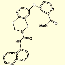 CNC(=O)c1cc(Oc2ccc3c(c2)CN(C(=O)Nc2cccc4ccccc24)CC3)ccn1